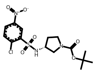 CC(C)(C)OC(=O)N1CC[C@@H](NS(=O)(=O)c2cc([N+](=O)[O-])ccc2Cl)C1